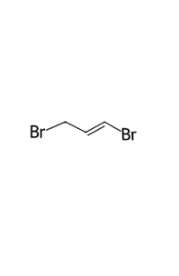 BrC=CCBr